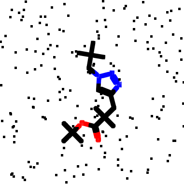 CC(C)(C)Cn1cc(CC(C)(C)C(=O)OC(C)(C)C)nn1